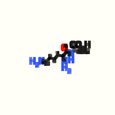 CC[C@H](C)[C@H](NC(=O)[C@@H](N)CCCCN)C(=O)O